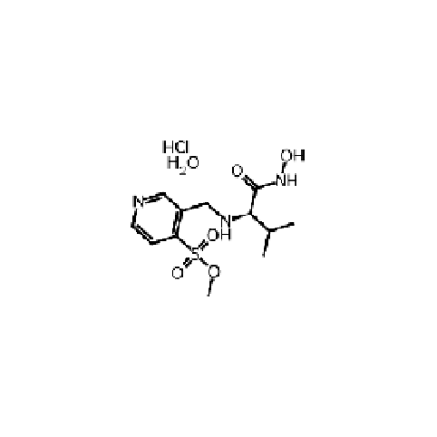 COS(=O)(=O)c1ccncc1CN[C@@H](C(=O)NO)C(C)C.Cl.O